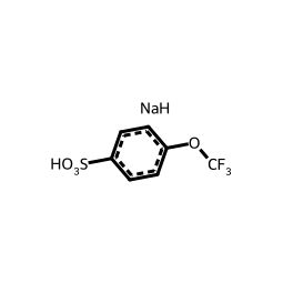 O=S(=O)(O)c1ccc(OC(F)(F)F)cc1.[NaH]